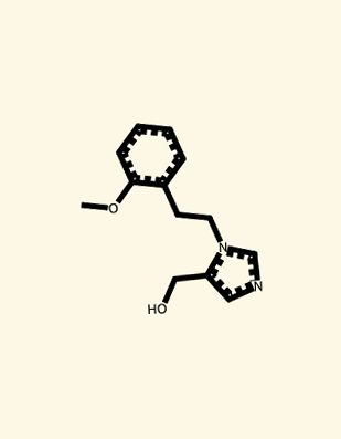 COc1ccccc1CCn1cncc1CO